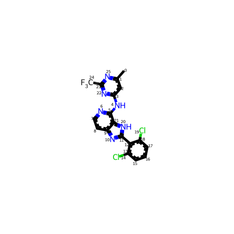 Cc1cc(Nc2nccc3nc(-c4c(Cl)cccc4Cl)[nH]c23)nc(C(F)(F)F)n1